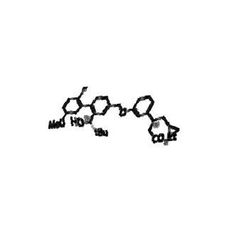 CCOC(=O)C[C@H](CC1CC1)c1cccc(OCc2ccc(-c3cc(OC)ccc3F)c([C@@H](O)C(C)(C)C)c2)c1